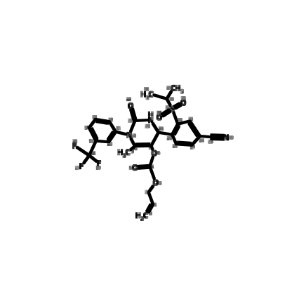 C=CCOC(=O)OC1=C(C)N(c2cccc(C(F)(F)F)c2)C(=O)NC1c1ccc(C#N)cc1S(=O)(=O)C(C)C